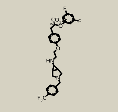 CCOC(=O)[C@H](Cc1ccc(OCCNC2C3CN(Cc4ccc(C(F)(F)F)cc4)CC32)cc1)Oc1cc(F)cc(F)c1